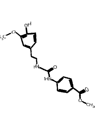 COC(=O)c1ccc(NC(=O)NCCc2ccc(O)c(OC)c2)cc1